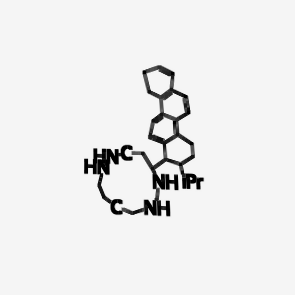 CC(C)C1CCc2c(ccc3c4c(ccc23)C=CCC4)C1C1CCNNCCCCNCN1